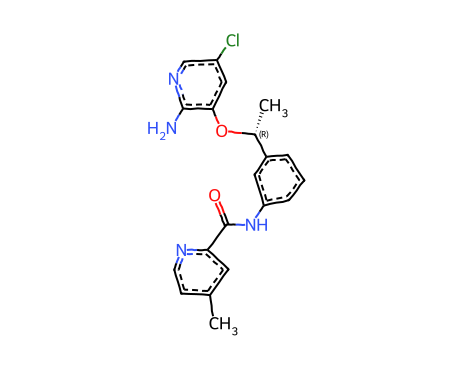 Cc1ccnc(C(=O)Nc2cccc([C@@H](C)Oc3cc(Cl)cnc3N)c2)c1